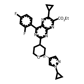 CCOC(=O)c1nc2nc(C3CCO[C@@H](c4cnn(C5CC5)c4)C3)nc(-c3ccc(F)cc3F)c2nc1C1CC1